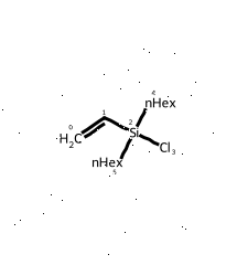 C=C[Si](Cl)(CCCCCC)CCCCCC